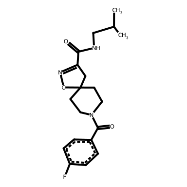 CC(C)CNC(=O)C1=NOC2(CCN(C(=O)c3ccc(F)cc3)CC2)C1